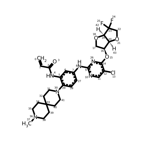 C=CC(=O)Nc1cc(Nc2ncc(Cl)c(O[C@H]3CO[C@@H]4[C@H]3OCC4(F)F)n2)ccc1N1CCC2(CCN(C)CC2)CC1